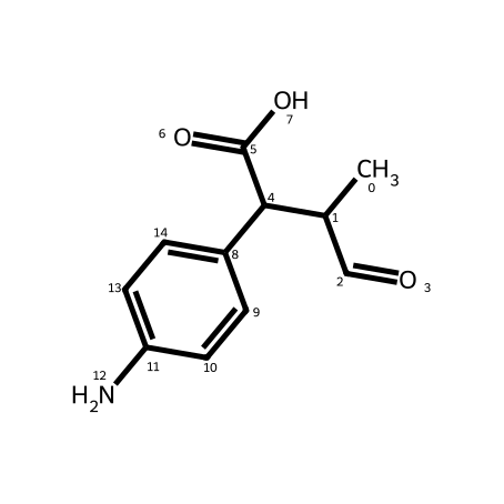 CC(C=O)C(C(=O)O)c1ccc(N)cc1